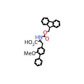 COc1cc(C[C@H](NC(=O)OCC2c3ccccc3-c3ccccc32)C(=O)O)ccc1-c1ccccc1